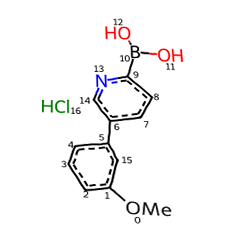 COc1cccc(-c2ccc(B(O)O)nc2)c1.Cl